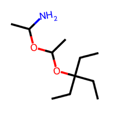 CCC(CC)(CC)OC(C)OC(C)N